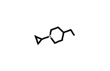 CCC1[CH]CN(C2CC2)CC1